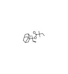 C=CC(C)(OC(=O)C(C)(C)CC)C12CC3CC(CC(C3)C1)C2